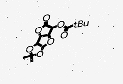 CC1(C)OC2OC3C(OC(=O)C(C)(C)C)C(=O)OC3C2O1